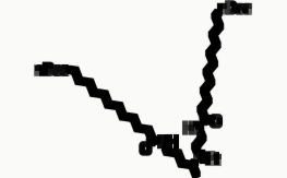 CCCCCCCCCCCCCCCCCCCCCC(=O)NCCCC(C)N(CC)CCNC(=O)CCCCCCCCCCCCCCCCCCCCC